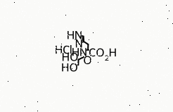 Cl.O=C(NC(Cc1c[nH]cn1)C(=O)O)C(O)CO